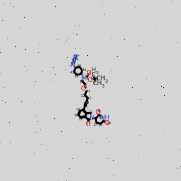 CC(C)(C)OC(=O)N(CCOCCCC#Cc1cccc2c1CN(C1CCC(=O)NC1=O)C2=O)[C@H]1CC[C@@H](N=[N+]=[N-])CC1